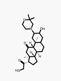 CC1(C)CN(C2C[C@@]3(C)C(CC[C@H]4[C@@H]5CC[C@H](C(=O)CO)[C@@]5(C)CC(=O)[C@@H]43)CC2O)CCO1